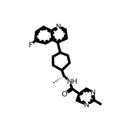 Cc1ncc(C(=O)N[C@H](C)C2CCC(c3ccnc4ccc(F)cc34)CC2)cn1